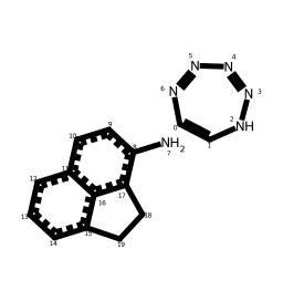 C1=CNN=NN=N1.Nc1ccc2cccc3c2c1CC3